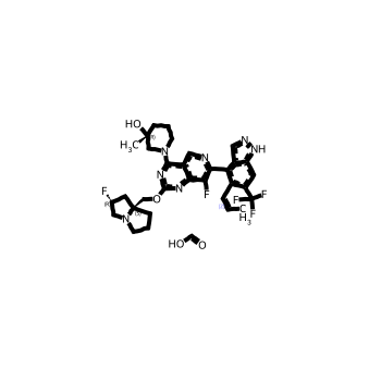 C/C=C\c1c(C(F)(F)F)cc2[nH]ncc2c1-c1ncc2c(N3CCC[C@@](C)(O)C3)nc(OC[C@@]34CCCN3C[C@H](F)C4)nc2c1F.O=CO